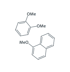 COc1cccc2ccccc12.COc1ccccc1OC